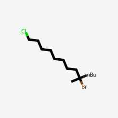 CCCCC(C)(Br)CCCCCCCCCl